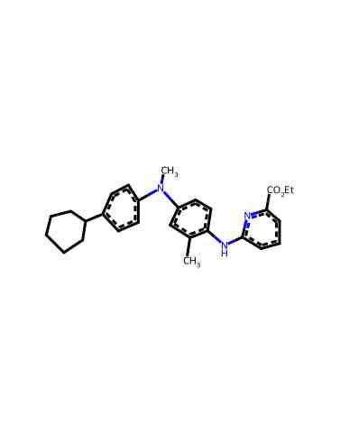 CCOC(=O)c1cccc(Nc2ccc(N(C)c3ccc(C4CCCCC4)cc3)cc2C)n1